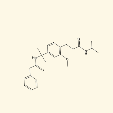 COc1cc(C(C)(C)NC(=O)Cc2ccccc2)ccc1CCC(=O)NC(C)C